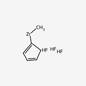 F.F.F.[CH3][Zr][C]1=CC=CC1